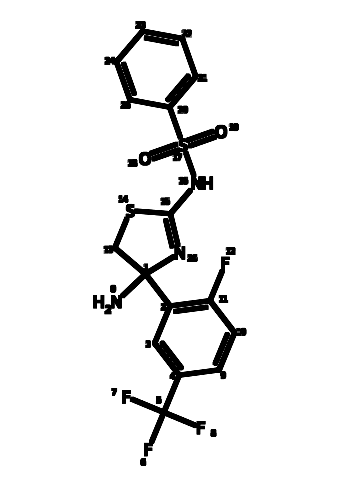 NC1(c2cc(C(F)(F)F)ccc2F)CSC(NS(=O)(=O)c2ccccc2)=N1